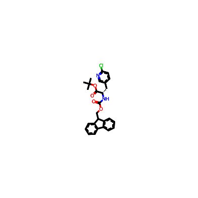 CC(C)(C)OC(=O)[C@H](Cc1ccc(Cl)nc1)NC(=O)OCC1c2ccccc2-c2ccccc21